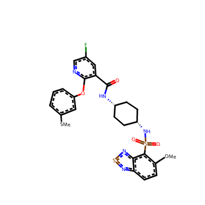 COc1ccc2nsnc2c1S(=O)(=O)N[C@H]1CC[C@@H](NC(=O)c2cc(F)cnc2Oc2cccc(SC)c2)CC1